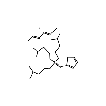 CC(C)CCCP(CCCC(C)C)(CCCC(C)C)=NC1=CC=CC1.CC=CC=CC.[Ti]